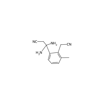 Cc1cccc(C(N)(N)CC#N)c1CC#N